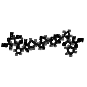 CC(C)[C@@H](NC(=O)O)C(=O)N1CCCC1c1nc2cc(-c3csc4c(-c5ccc6nc(C7CCCN7C(=O)[C@H](NC(=O)O)c7ccccc7)[nH]c6c5)csc34)ccc2[nH]1